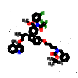 COC(=O)C1(N(C(=O)C(F)(F)F)c2cccc(Cl)c2)CCC2(CC1)c1cc(OCCCCN(Cc3ccccc3)C(=O)OC(C)(C)C)ccc1C[C@@H]2C[C@@H](C)COc1ccnc2c1[C@H](C)CCC2